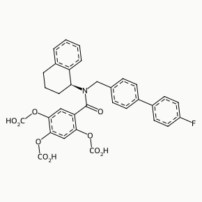 O=C(O)Oc1cc(OC(=O)O)c(C(=O)N(Cc2ccc(-c3ccc(F)cc3)cc2)[C@H]2CCCc3ccccc32)cc1OC(=O)O